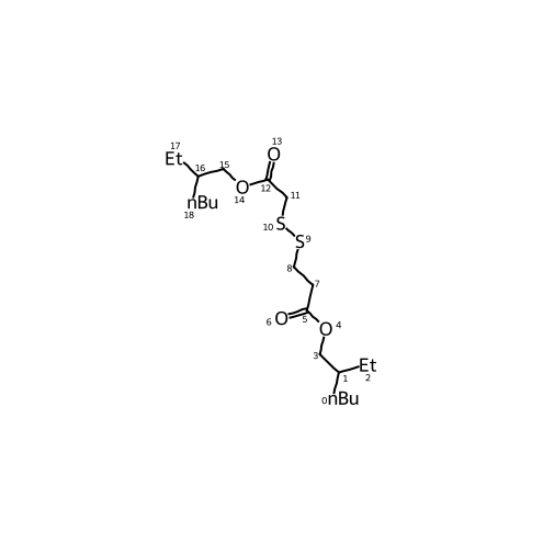 CCCCC(CC)COC(=O)CCSSCC(=O)OCC(CC)CCCC